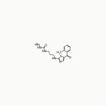 CCCCNC(=O)NCCCNc1ncc(C(=O)c2ccccc2C)s1